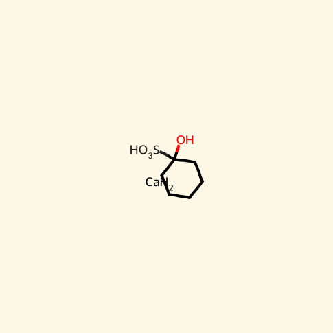 O=S(=O)(O)C1(O)CCCCC1.[CaH2]